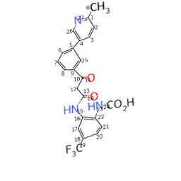 Cc1ccc(-c2cccc(C(=O)CC(=O)Nc3cc(C(F)(F)F)ccc3NC(=O)O)c2)cn1